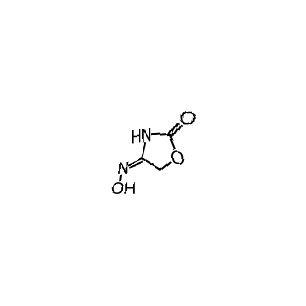 O=C1N/C(=N/O)CO1